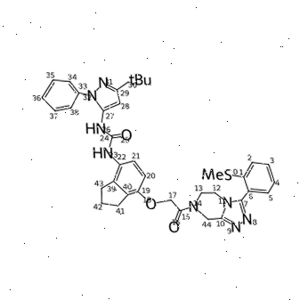 CSc1ccccc1-c1nnc2n1CCN(C(=O)COc1ccc(NC(=O)Nc3cc(C(C)(C)C)nn3-c3ccccc3)c3c1CCC3)C2